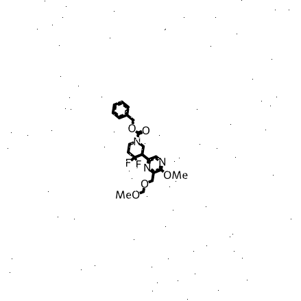 COCOCc1nc(C2CN(C(=O)OCc3ccccc3)CCC2(F)F)cnc1OC